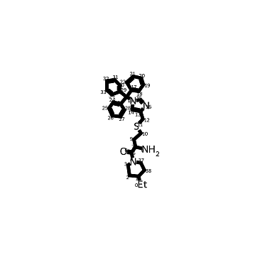 CCC1CCN(C(=O)C(N)CCSCc2cn(C(c3ccccc3)(c3ccccc3)c3ccccc3)cn2)CC1